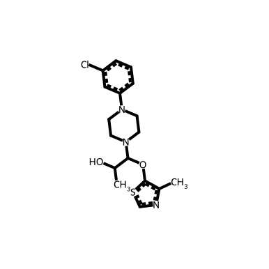 Cc1ncsc1OC(C(C)O)N1CCN(c2cccc(Cl)c2)CC1